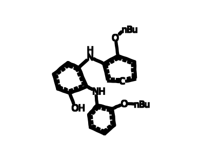 CCCCOc1ccccc1Nc1cccc(O)c1Nc1ccccc1OCCCC